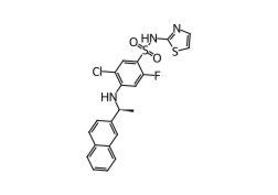 C[C@H](Nc1cc(F)c(S(=O)(=O)Nc2nccs2)cc1Cl)c1ccc2ccccc2c1